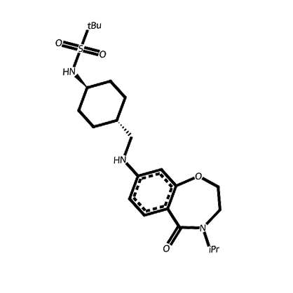 CC(C)N1CCOc2cc(NC[C@H]3CC[C@H](NS(=O)(=O)C(C)(C)C)CC3)ccc2C1=O